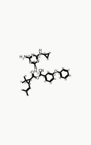 CC(C)=CC1C(C(=O)OC(C#N)c2cccc(Oc3ccccc3)c2)C1(C)C.Nc1nc(N)nc(NC2CC2)n1